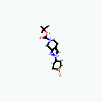 CC(C)(C)OC(=O)N1CCc2cn(C3CC[S+]([O-])CC3)nc2C1